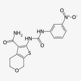 NC(=O)c1c(NC(=O)Nc2cccc([N+](=O)[O-])c2)sc2c1CCOC2